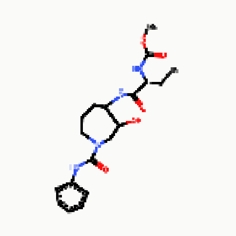 CC(C)C[C@H](NC(=O)OC(C)(C)C)C(=O)NC1CCCN(C(=O)Nc2ccccc2)CC1O